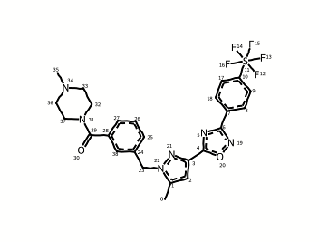 Cc1cc(-c2nc(-c3ccc(S(F)(F)(F)(F)F)cc3)no2)nn1Cc1cccc(C(=O)N2CCN(C)CC2)c1